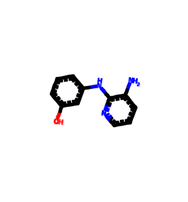 Nc1cccnc1Nc1cccc(O)c1